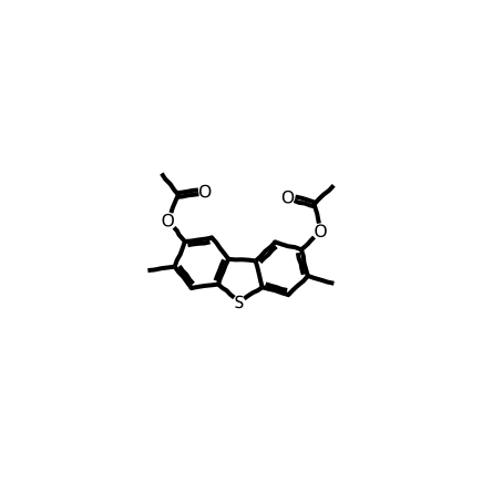 CC(=O)Oc1cc2c(cc1C)sc1cc(C)c(OC(C)=O)cc12